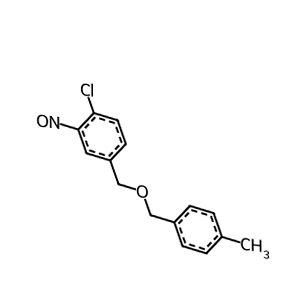 Cc1ccc(COCc2ccc(Cl)c(N=O)c2)cc1